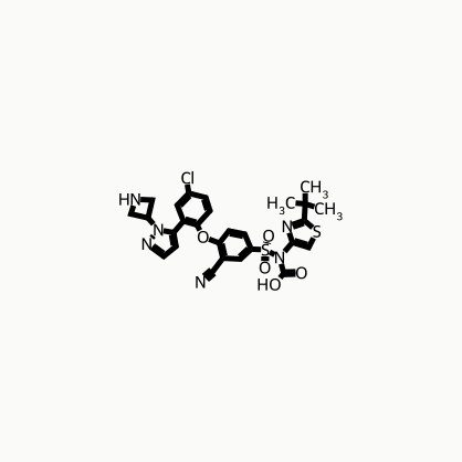 CC(C)(C)c1nc(N(C(=O)O)S(=O)(=O)c2ccc(Oc3ccc(Cl)cc3-c3ccnn3C3CNC3)c(C#N)c2)cs1